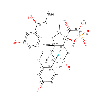 CNC[C@H](O)c1cccc(O)c1.C[C@@H]1C[C@H]2[C@@H]3CCC4=CC(=O)C=C[C@]4(C)[C@@]3(F)[C@@H](O)C[C@]2(C)[C@@]1(OP(=O)(O)O)C(=O)CO